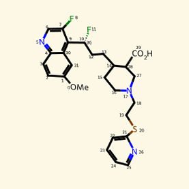 COc1ccc2ncc(F)c([C@H](F)CCC3CCN(CCSc4ccccn4)CC3C(=O)O)c2c1